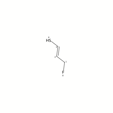 FCC=CS